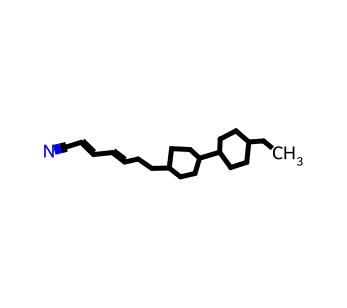 CCC1CCC(C2CCC(CCC=CC=CC#N)CC2)CC1